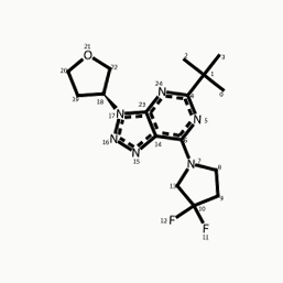 CC(C)(C)c1nc(N2CCC(F)(F)C2)c2nnn([C@H]3CCOC3)c2n1